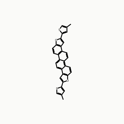 Cc1csc(-c2cc3c(ccc4c3ccc3c5ccc6oc(-c7cc(C)cs7)cc6c5ccc43)o2)c1